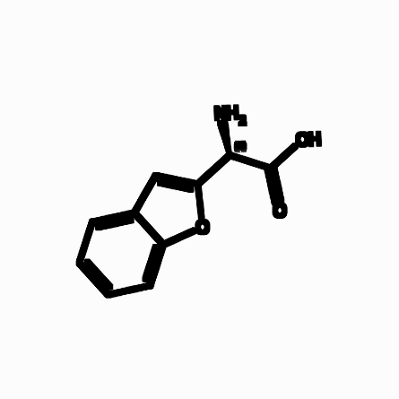 N[C@@H](C(=O)O)c1cc2ccccc2o1